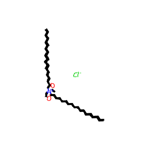 CCCCCCCCCCCCCCCCCC(=O)C[N+](CC)(CC)C(=O)CCCCCCCCCCCCCCCCC.[Cl-]